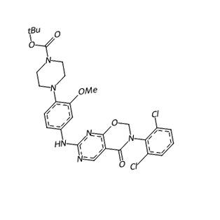 COc1cc(Nc2ncc3c(n2)OCN(c2c(Cl)cccc2Cl)C3=O)ccc1N1CCN(C(=O)OC(C)(C)C)CC1